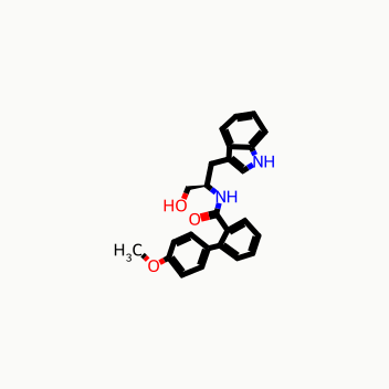 COc1ccc(-c2ccccc2C(=O)N[C@@H](CO)Cc2c[nH]c3ccccc23)cc1